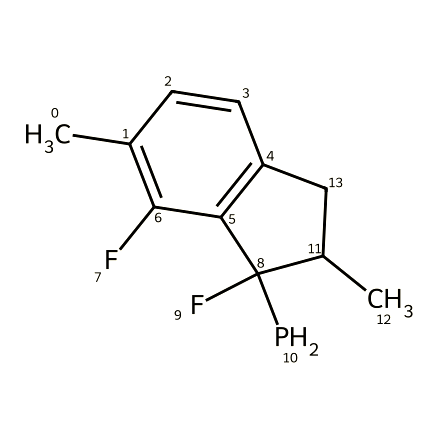 Cc1ccc2c(c1F)C(F)(P)C(C)C2